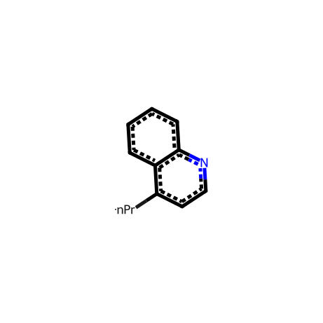 CC[CH]c1ccnc2ccccc12